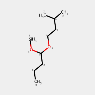 CCCC(O[SiH3])OCCC(C)C